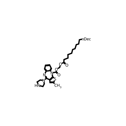 CCCCCCCCCCCCCCCCCCCC(=O)OCOC(=O)N1c2ccccc2N=C(N2CCNCC2)c2cc(C)sc21